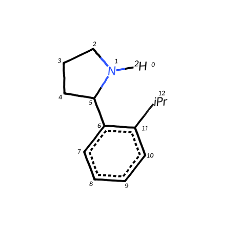 [2H]N1CCCC1c1ccccc1C(C)C